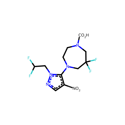 O=C(O)N1CCN(c2c([N+](=O)[O-])cnn2CC(F)F)CC(F)(F)C1